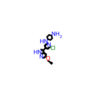 C#CCOc1cnc2[nH]cc(-c3cc(Cl)nc(NC4CCC(N)CC4)c3)c2c1